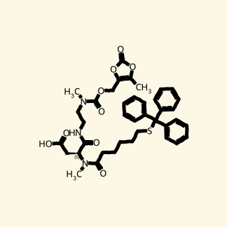 Cc1oc(=O)oc1COC(=O)N(C)CCNC(=O)[C@H](CC(=O)O)N(C)C(=O)CCCCCSC(c1ccccc1)(c1ccccc1)c1ccccc1